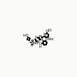 CCOC1=NC(c2nc3ncc(NS(=O)(=O)C[C@H]4C[C@H](O)C4)nc3n2-c2c(O)cccc2OC)=C=C=C1